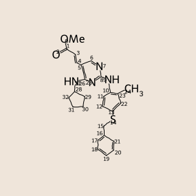 COC(=O)/C=C/c1cnc(Nc2ccc(SCc3ccccc3)cc2C)nc1NC1CCCC1